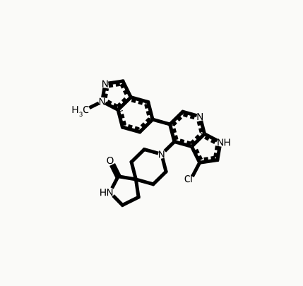 Cn1ncc2cc(-c3cnc4[nH]cc(Cl)c4c3N3CCC4(CCNC4=O)CC3)ccc21